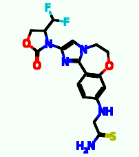 NC(=S)CNc1ccc2c(c1)OCCn1cc(N3C(=O)OCC3C(F)F)nc1-2